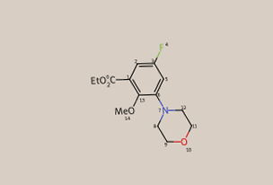 CCOC(=O)c1cc(F)cc(N2CCOCC2)c1OC